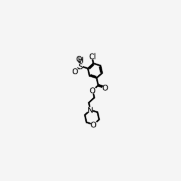 O=C(OCCN1CCOCC1)c1ccc(Cl)c([SH](=O)=O)c1